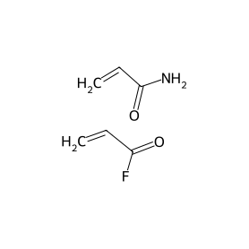 C=CC(=O)F.C=CC(N)=O